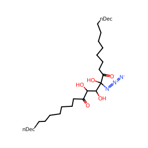 CCCCCCCCCCCCCCCCCC(=O)C(O)C(O)C(O)(N=[N+]=[N-])C(=O)CCCCCCCCCCCCCCCCC